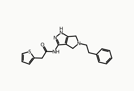 O=C(Cc1cccs1)Nc1n[nH]c2c1CN(CCc1ccccc1)C2